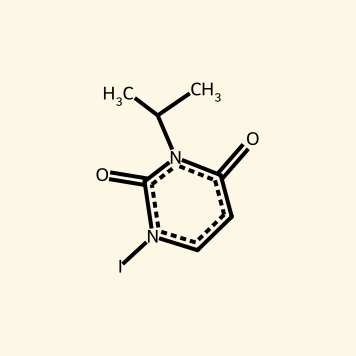 CC(C)n1c(=O)ccn(I)c1=O